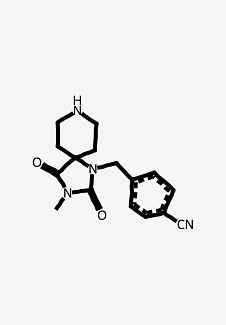 CN1C(=O)N(Cc2ccc(C#N)cc2)C2(CCNCC2)C1=O